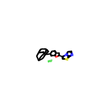 Cl.c1cn2c(-c3cc4ccc(C56CC7CC(CC(C7)C5)C6)cc4o3)csc2n1